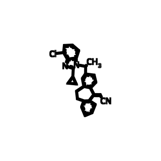 CC(c1ccc2c(c1)CCc1ccccc1/C2=C\C#N)n1c(C2CC2)nc2c(Cl)cccc21